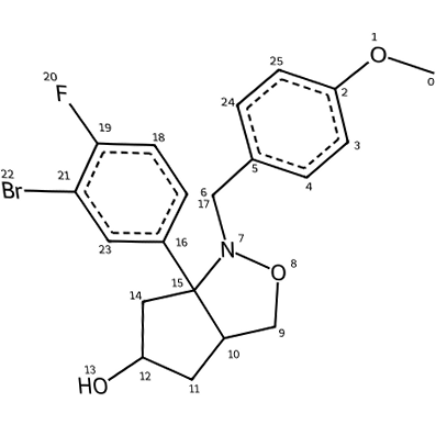 COc1ccc(CN2OCC3CC(O)CC32c2ccc(F)c(Br)c2)cc1